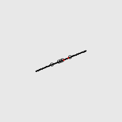 CCCC/C=C/CCCCCCCC/C=C/CCOCCCCCCCOCOCOCCCCCCCOCC/C=C/CCCCCCCC/C=C/CCCC